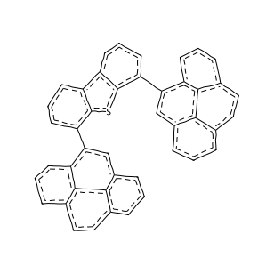 c1cc2ccc3cccc4c(-c5cccc6c5sc5c(-c7cc8cccc9ccc%10cccc7c%10c98)cccc56)cc(c1)c2c34